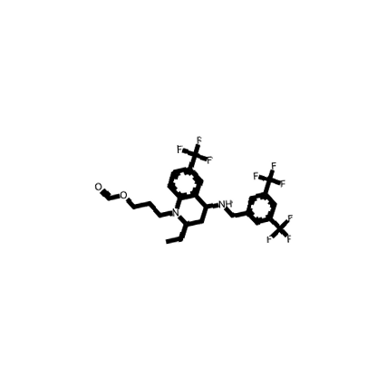 CCC1CC(NCc2cc(C(F)(F)F)cc(C(F)(F)F)c2)c2cc(C(F)(F)F)ccc2N1CCCOC=O